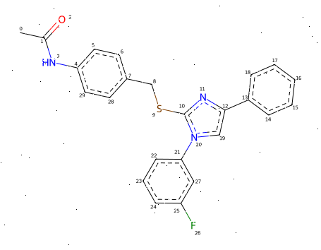 CC(=O)Nc1ccc(CSc2nc(-c3ccccc3)cn2-c2cccc(F)c2)cc1